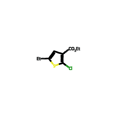 CCOC(=O)c1cc(CC)sc1Cl